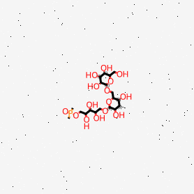 C[C@@H]1C(O)[C@H](OCC(O)C(O)C(O)COP(C)(C)=O)OC(CO[C@H]2OC(CO)[C@@H](O)[C@H](O)C2O)[C@@H]1O